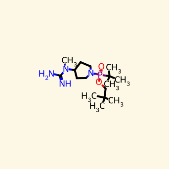 CN(C(=N)N)C1CCN(P(=O)(OCC(C)(C)C)C(C)(C)C)CC1